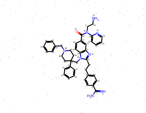 N=C(N)c1ccc(CCc2nc3cc(C(=O)N(CCN)c4ccccn4)ccc3n2CC2(c3ccccc3)CCN(Cc3ccccc3)CC2)cc1